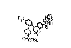 CC(C)(C)OC(=O)N1CCC(c2cc(C(F)(F)F)ccc2C2CC(C)(C)Oc3cc(S(=O)(=O)Nc4ncns4)ccc32)CC1